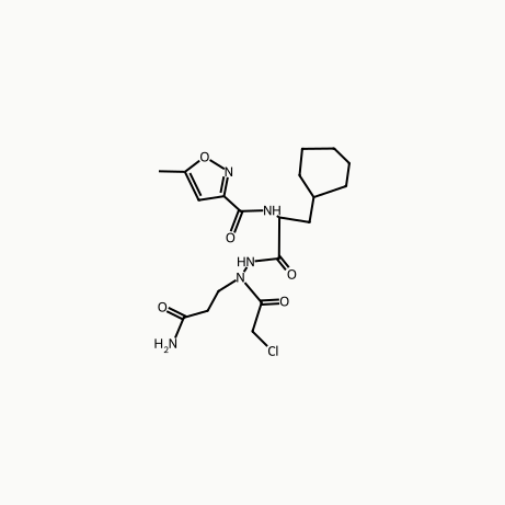 Cc1cc(C(=O)NC(CC2CCCCC2)C(=O)NN(CCC(N)=O)C(=O)CCl)no1